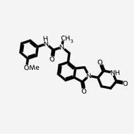 COc1cccc(NC(=O)N(C)Cc2cccc3c2CN(C2CCC(=O)NC2=O)C3=O)c1